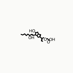 CC=C(COCC(=O)O)C1=CC2CC(O)C(C=CC(O)CCCCC)C2C1